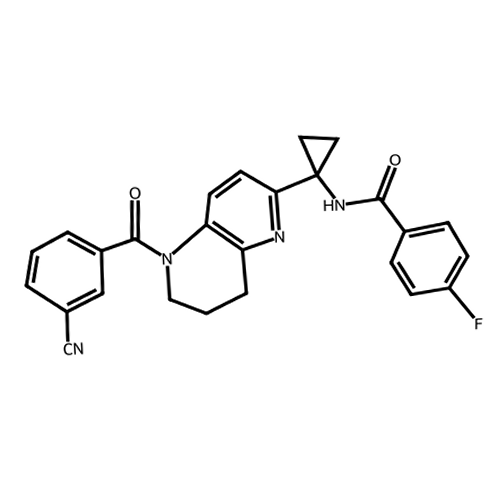 N#Cc1cccc(C(=O)N2CCCc3nc(C4(NC(=O)c5ccc(F)cc5)CC4)ccc32)c1